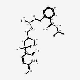 C/N=C(N)\C=C/N(C=O)C(F)(F)CC(COP(O)OCc1ccccc1C(=O)OC(C)C)OC